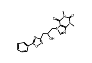 Cn1c(=O)c2c(ncn2CC(O)Cc2noc(-c3ccccc3)n2)n(C)c1=O